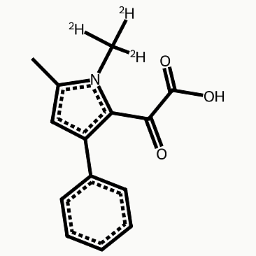 [2H]C([2H])([2H])n1c(C)cc(-c2ccccc2)c1C(=O)C(=O)O